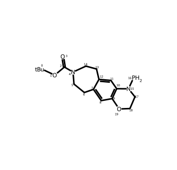 CC(C)(C)OC(=O)N1CCc2cc3c(cc2CC1)N(P)CCO3